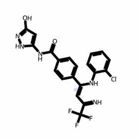 N=C(/C=C(\Nc1ccccc1Cl)c1ccc(C(=O)Nc2cc(O)n[nH]2)cc1)C(F)(F)F